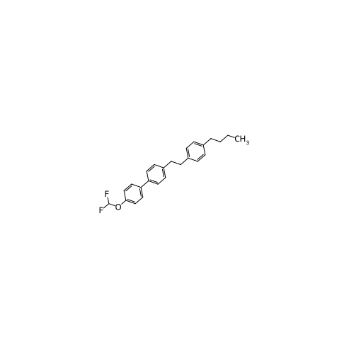 CCCCc1ccc(CCc2ccc(-c3ccc(OC(F)F)cc3)cc2)cc1